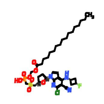 CCCCCCCCCCCCCCCCC(=O)OCOP(=O)(O)CS(=O)(=O)C[C@@H]1CC[C@H](n2ccc3c(N[C@H]4C[C@@H](F)C4)c(C#N)c(Cl)nc32)O1